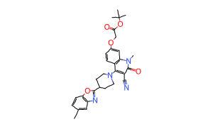 Cc1ccc2oc(C3CCN(c4c(C#N)c(=O)n(C)c5cc(OCC(=O)OC(C)(C)C)ccc45)CC3)nc2c1